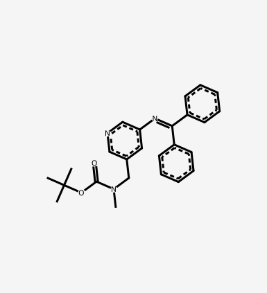 CN(Cc1cncc(N=C(c2ccccc2)c2ccccc2)c1)C(=O)OC(C)(C)C